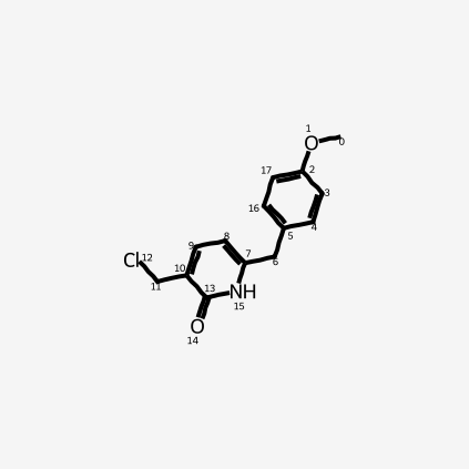 COc1ccc(Cc2ccc(CCl)c(=O)[nH]2)cc1